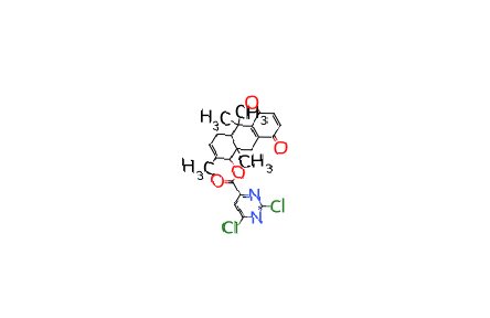 CC1=CCC2C(C)(C)C3=C(CC2(C)C1OC(=O)c1cc(Cl)nc(Cl)n1)C(=O)C=CC3=O